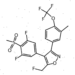 Cc1cc(-c2noc(CF)c2-c2cc(F)c(S(C)(=O)=O)c(F)c2)ccc1OC(F)(F)F